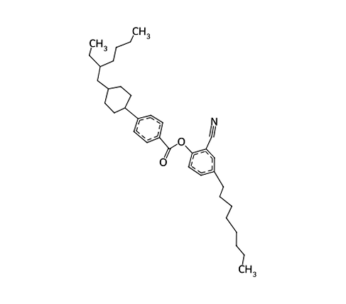 CCCCCCCCc1ccc(OC(=O)c2ccc(C3CCC(CC(CC)CCCC)CC3)cc2)c(C#N)c1